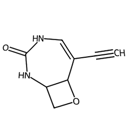 C#CC1=CNC(=O)NC2COC12